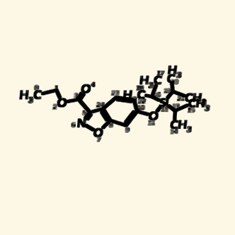 CCOC(=O)c1noc2cc(O[Si](C(C)C)(C(C)C)C(C)C)ccc12